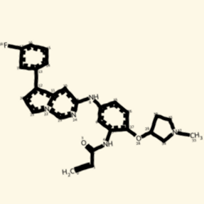 C=CC(=O)Nc1cc(Nc2cc3c(-c4cccc(F)c4)ccn3cn2)ccc1OC1CCN(C)C1